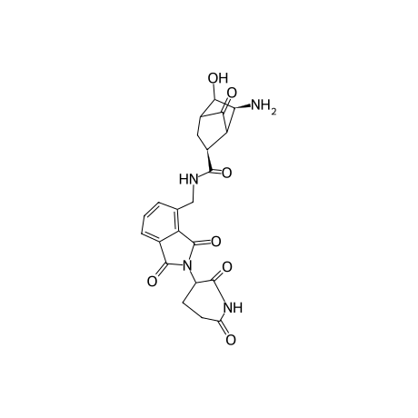 N[C@@H]1C(O)C2C[C@H](C(=O)NCc3cccc4c3C(=O)N(C3CCC(=O)NC3=O)C4=O)C1C2=O